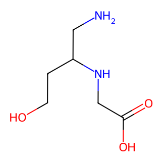 NCC(CCO)NCC(=O)O